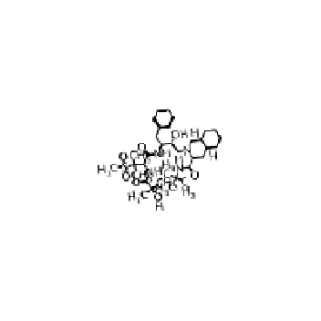 CC(C)(C)NC(=O)[C@@H]1C[C@@H]2CCCC[C@@H]2CN1C[C@@H](O)[C@H](Cc1ccccc1)NC(=O)[C@@H](NC(=O)C(C)(C)O)C(C)(C)S(C)(=O)=O